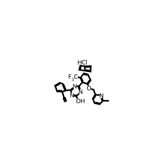 C#Cc1ccccc1-c1nc(O)nc(-c2c(OCc3cccc(C)n3)cccc2C(F)(F)F)n1.Cl.c1cc2ccc1-2